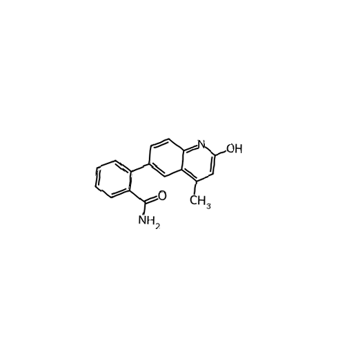 Cc1cc(O)nc2ccc(-c3ccccc3C(N)=O)cc12